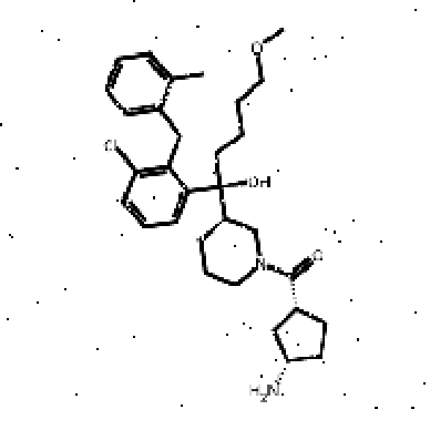 COCCCC[C@@](O)(c1cccc(Cl)c1Cc1ccccc1C)[C@@H]1CCCN(C(=O)[C@@H]2CC[C@H](N)C2)C1